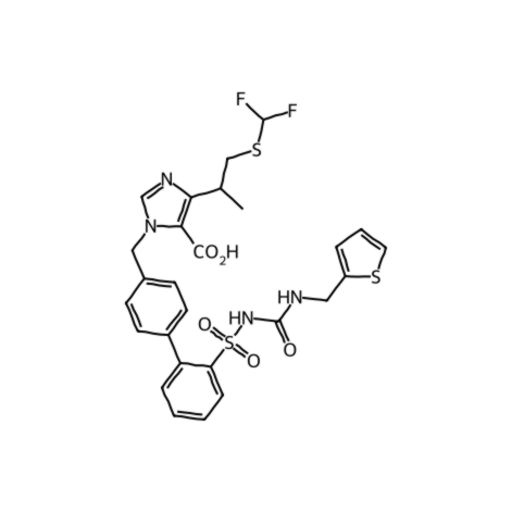 CC(CSC(F)F)c1ncn(Cc2ccc(-c3ccccc3S(=O)(=O)NC(=O)NCc3cccs3)cc2)c1C(=O)O